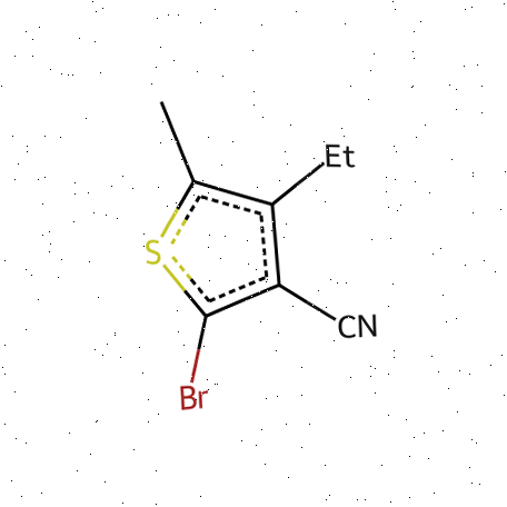 CCc1c(C)sc(Br)c1C#N